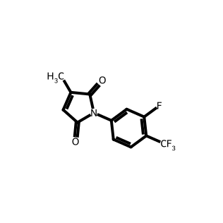 CC1=CC(=O)N(c2ccc(C(F)(F)F)c(F)c2)C1=O